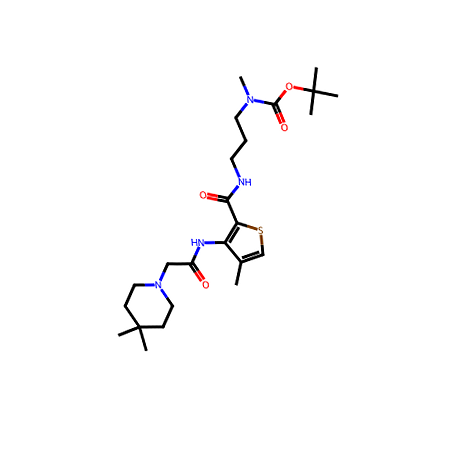 Cc1csc(C(=O)NCCCN(C)C(=O)OC(C)(C)C)c1NC(=O)CN1CCC(C)(C)CC1